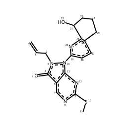 C=CCn1c(=O)c2cnc(SC)nc2n1-c1ccc2c(n1)C(O)CCC2